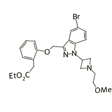 CCOC(=O)Cc1ccccc1OCc1nn(C2CN(CCOC)C2)c2ccc(Br)cc12